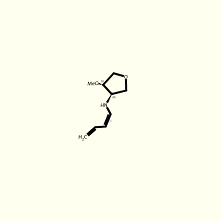 C=C/C=C\N[C@@H]1COC[C@H]1OC